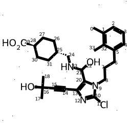 Cc1cccc(CCCn2c(Cl)nc(C#CC(C)(C)O)c2C(O)NC[C@H]2CC[C@H](C(=O)O)CC2)c1C